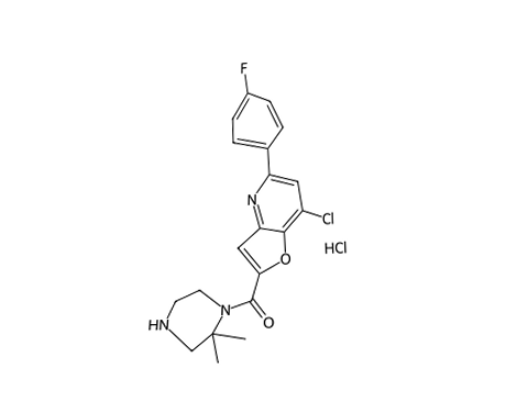 CC1(C)CNCCN1C(=O)c1cc2nc(-c3ccc(F)cc3)cc(Cl)c2o1.Cl